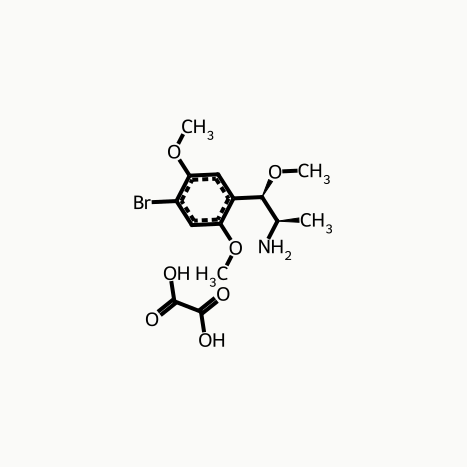 COc1cc([C@@H](OC)[C@@H](C)N)c(OC)cc1Br.O=C(O)C(=O)O